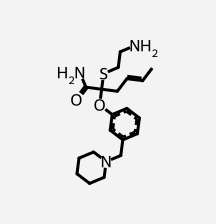 CC=CCC(Oc1cccc(CN2CCCCC2)c1)(SCCN)C(N)=O